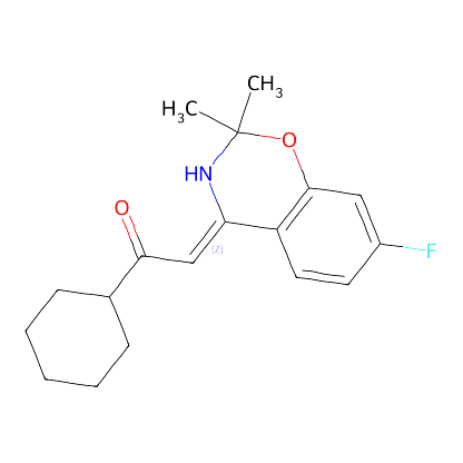 CC1(C)N/C(=C\C(=O)C2CCCCC2)c2ccc(F)cc2O1